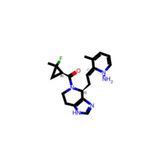 CC1=CC=CN(N)/C1=C\C[C@H]1c2nc[nH]c2CCN1C(=O)[C@H]1CC1(C)F